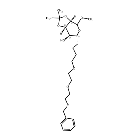 COC1O[C@H](COCCOCCOCCOCc2ccccc2)[C@@H](O)[C@@H]2OC(C)(C)O[C@H]12